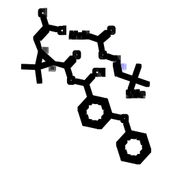 CC1(C)[C@H](C(=O)OC(C#N)c2cccc(Oc3ccccc3)c2)[C@@H]1C=C(Cl)Cl.CNC(=O)O/N=C/C(C)(C)SC